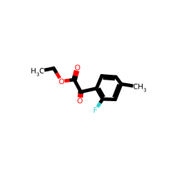 CCOC(=O)C(=O)c1ccc(C)cc1F